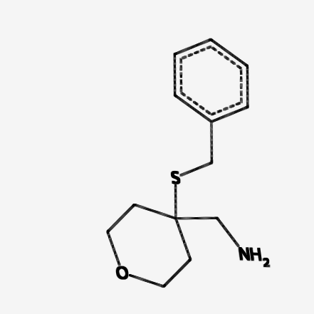 NCC1(SCc2ccccc2)CCOCC1